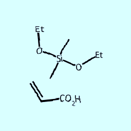 C=CC(=O)O.CCO[Si](C)(C)OCC